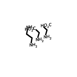 NCC(=O)O.NCC(=O)O.NCCN